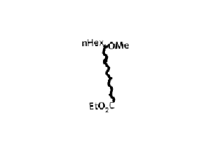 CCCCCCC(C/C=C/CCCCCCCC(=O)OCC)OC